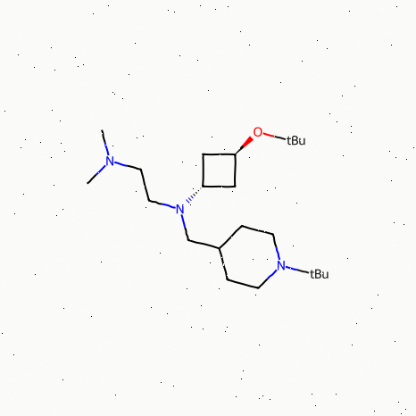 CN(C)CCN(CC1CCN(C(C)(C)C)CC1)[C@H]1C[C@H](OC(C)(C)C)C1